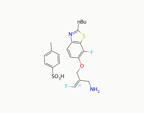 CCCCc1nc2ccc(OC/C(=C\F)CN)c(F)c2s1.Cc1ccc(S(=O)(=O)O)cc1